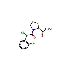 COC(=O)C1CCCN1C(=O)C(Cl)c1ccccc1Cl